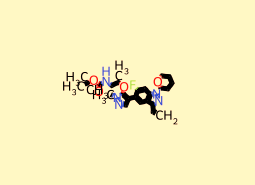 C=Cc1nn(C2CCCCO2)c2cc(F)c(-c3cnn(C)c3O[C@@H](C)CNC(=O)OC(C)(C)C)cc12